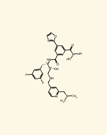 CCCN(CCC)C(=O)c1cc(C(=O)N[C@@H](Cc2cc(F)cc(F)c2)[C@H](O)CNCc2ccnc(CN(C)C)c2)cc(-c2ncco2)c1